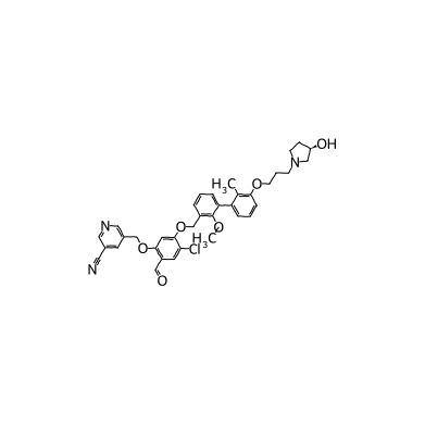 COc1c(COc2cc(OCc3cncc(C#N)c3)c(C=O)cc2Cl)cccc1-c1cccc(OCCCN2CC[C@@H](O)C2)c1C